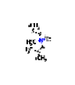 C=CC[N+](C)(CC)CC(=C)C